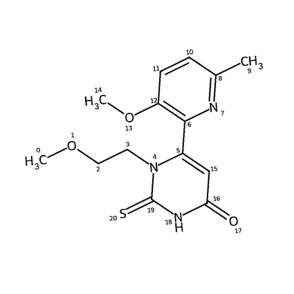 COCCn1c(-c2nc(C)ccc2OC)cc(=O)[nH]c1=S